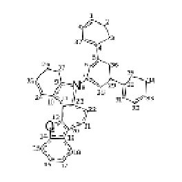 C1=CCCC(C2=CC(n3c4c(c5c6oc7ccccc7c6ccc53)C=CCC4)=CC(C3=CC=CCC3)C2)=C1